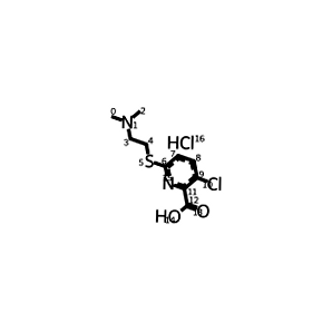 CN(C)CCSc1ccc(Cl)c(C(=O)O)n1.Cl